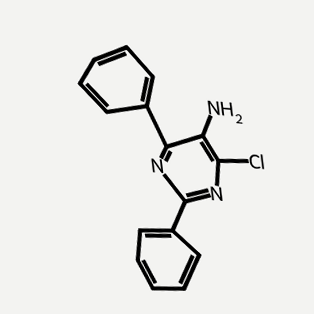 Nc1c(Cl)nc(-c2ccccc2)nc1-c1ccccc1